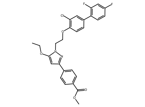 CCOc1cc(-c2ccc(C(=O)OC)cc2)nn1CCOc1ccc(-c2ccc(F)cc2F)cc1Cl